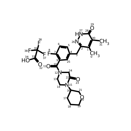 Cc1c(Cc2ccc(F)c(C(=O)N3CCN(C4CCCOC4)C(=O)C3)c2)n[nH]c(=O)c1C.O=C(O)C(F)(F)F